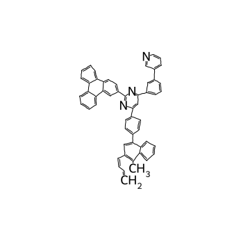 C=C/C=C\c1cc(-c2ccc(-c3cc(-c4cccc(-c5cccnc5)c4)nc(-c4ccc5c6ccccc6c6ccccc6c5c4)n3)cc2)c2ccccc2c1C